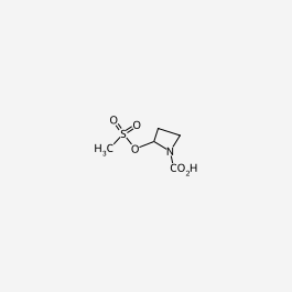 CS(=O)(=O)OC1CCN1C(=O)O